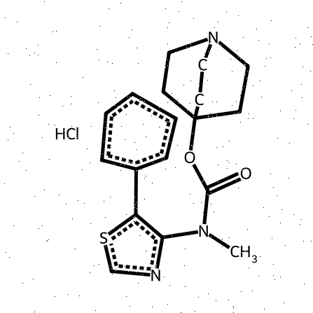 CN(C(=O)OC12CCN(CC1)CC2)c1ncsc1-c1ccccc1.Cl